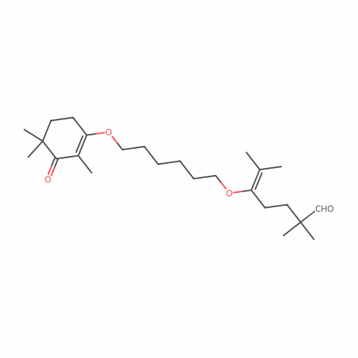 CC(C)=C(CCC(C)(C)C=O)OCCCCCCOC1=C(C)C(=O)C(C)(C)CC1